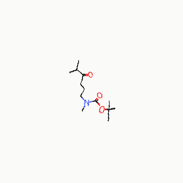 CC(C)C(=O)CCCN(C)C(=O)OC(C)(C)C